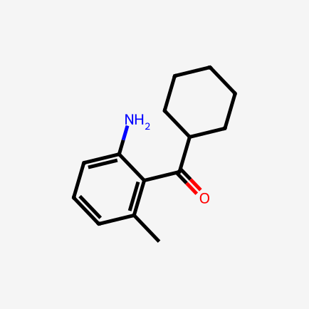 Cc1cccc(N)c1C(=O)C1CCCCC1